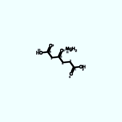 O=C(O)CCC(=O)CC(=O)O.[MgH2]